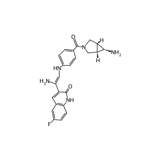 N/C(=C\Nc1ccc(C(=O)N2C[C@@H]3[C@@H](N)[C@@H]3C2)cc1)c1cc2cc(F)ccc2[nH]c1=O